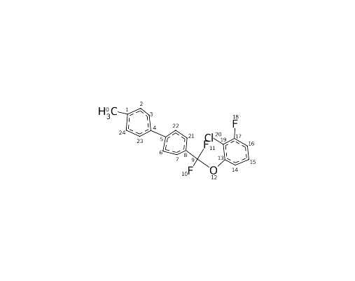 Cc1ccc(-c2ccc(C(F)(F)Oc3cccc(F)c3Cl)cc2)cc1